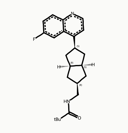 CC(C)(C)C(=O)NC[C@@H]1C[C@@H]2C[C@H](c3ccnc4ccc(F)cc34)C[C@@H]2C1